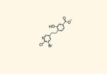 COC(=O)c1ccc(CCc2cnc(Cl)c(Br)c2)c(O)c1